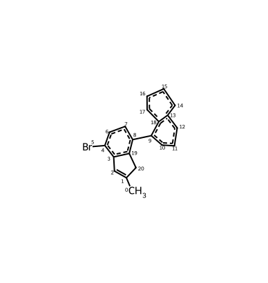 CC1=Cc2c(Br)ccc(-c3cccc4ccccc34)c2C1